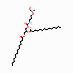 CCCCCCCCCCCCCC(=O)OCC(COC(=O)NCCCON(C)CO)OC(=O)CCCCCCCCCCCCC